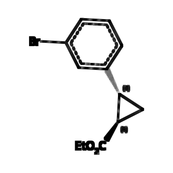 CCOC(=O)[C@@H]1C[C@H]1c1cccc(Br)c1